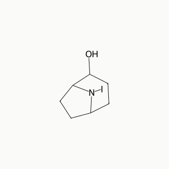 OC1CCC2CCC1N2I